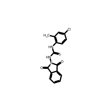 Cc1cc(Cl)ccc1NC(=S)NN1C(=O)c2ccccc2C1=O